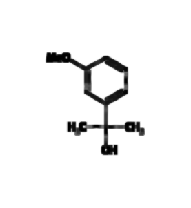 COc1cccc(C(C)(C)O)c1